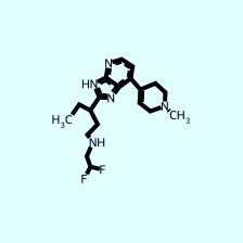 CCC(CCNCC(F)F)c1nc2c(C3=CCN(C)CC3)ccnc2[nH]1